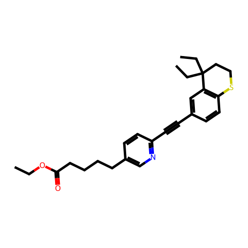 CCOC(=O)CCCCc1ccc(C#Cc2ccc3c(c2)C(CC)(CC)CCS3)nc1